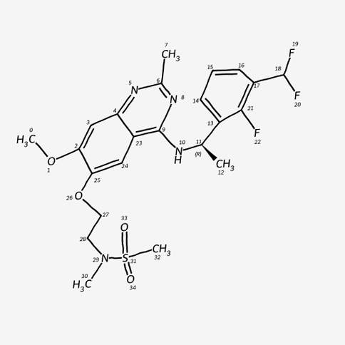 COc1cc2nc(C)nc(N[C@H](C)c3cccc(C(F)F)c3F)c2cc1OCCN(C)S(C)(=O)=O